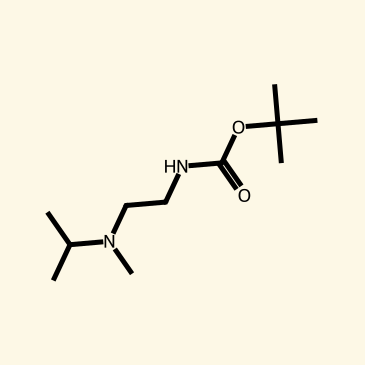 CC(C)N(C)CCNC(=O)OC(C)(C)C